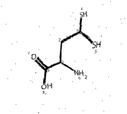 NC(C[C](S)S)C(=O)O